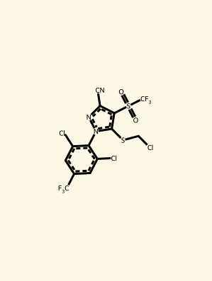 N#Cc1nn(-c2c(Cl)cc(C(F)(F)F)cc2Cl)c(SCCl)c1S(=O)(=O)C(F)(F)F